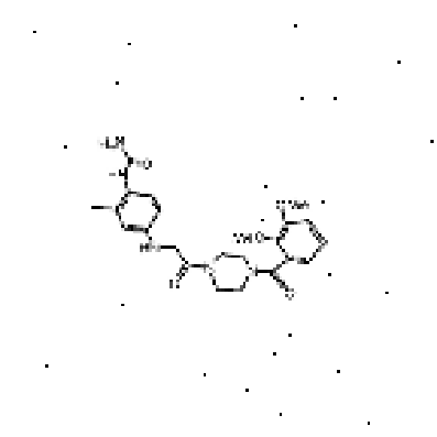 COc1cccc(C(=O)N2CCN(C(=O)CNc3ccc(NC(N)=O)c(C)c3)CC2)c1OC